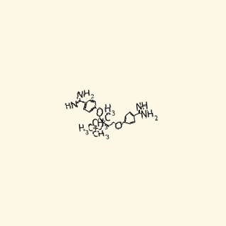 CC(C)(C)CC(C)(CCOc1ccc(C(=N)N)cc1)COc1ccc(C(=N)N)cc1